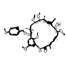 COc1ccc(CO[C@H]2c3cc(OC)cc(c3OC)NC(=O)/C(C)=C/C=C\[C@H](OC)[C@@H](O)/C(C)=C/[C@H](C)[C@@H](OC)[C@@H](OC)C[C@@H]2C)cc1